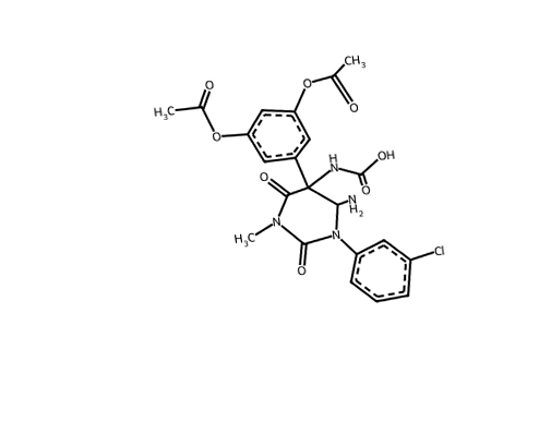 CC(=O)Oc1cc(OC(C)=O)cc(C2(NC(=O)O)C(=O)N(C)C(=O)N(c3cccc(Cl)c3)C2N)c1